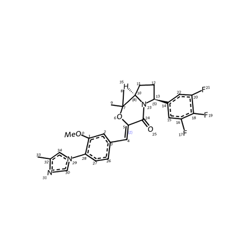 COc1cc(/C=C2\OC(C)(C)[C@H]3CC[C@@H](c4cc(F)c(F)c(F)c4)N3C2=O)ccc1-n1cnc(C)c1